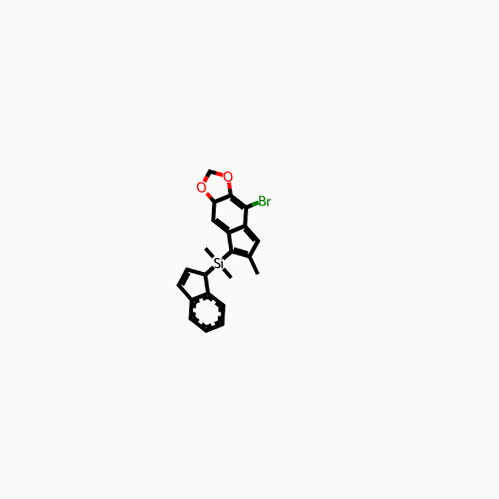 CC1=C([Si](C)(C)C2C=Cc3ccccc32)C2=CC3OCOC3=C(Br)C2=C1